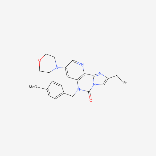 COc1ccc(Cn2c(=O)n3cc(CC(C)C)nc3c3ncc(N4CCOCC4)cc32)cc1